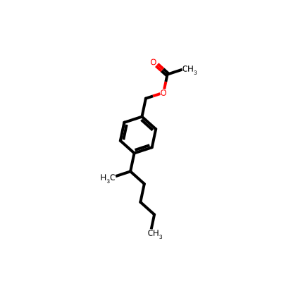 CCCCC(C)c1ccc(COC(C)=O)cc1